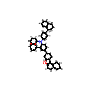 c1ccc(-c2cc(-c3ccc4c(c3)oc3ccc5ccccc5c34)ccc2N(c2ccccc2)c2ccc(-c3cccc4ccccc34)cc2)cc1